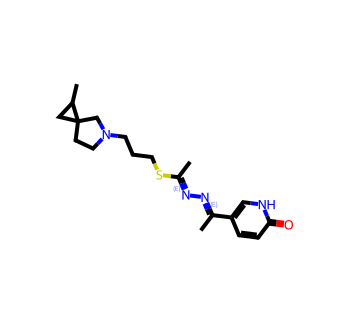 C/C(=N\N=C(/C)c1ccc(=O)[nH]c1)SCCCN1CCC2(CC2C)C1